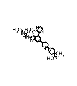 CCNC(=O)Nc1nc2cc(-c3cnc(N4CCC(C)(C(=O)O)CC4)nc3)cc(-c3nccnc3OC)c2s1